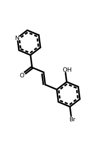 O=C(C=Cc1cc(Br)ccc1O)c1cccnc1